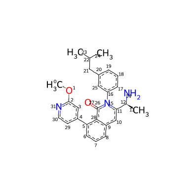 COc1cc(-c2cccc3cc([C@H](C)N)n(-c4cccc(CC(C)C)c4)c(=O)c23)ccn1